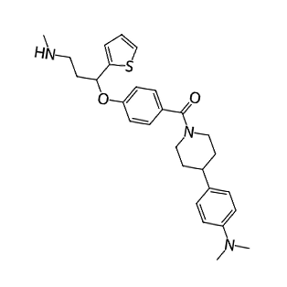 CNCCC(Oc1ccc(C(=O)N2CCC(c3ccc(N(C)C)cc3)CC2)cc1)c1cccs1